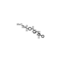 COCCNC(=O)NC1CCC(Nc2nccc(Nc3cc(C4CCCC4)[nH]n3)n2)CC1